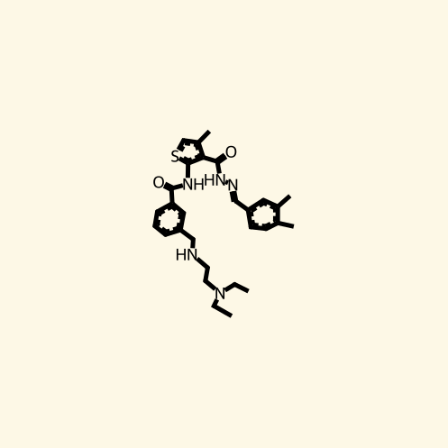 CCN(CC)CCNCc1cccc(C(=O)Nc2scc(C)c2C(=O)NN=Cc2ccc(C)c(C)c2)c1